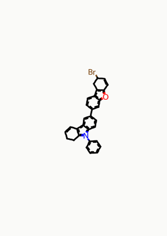 BrC1C=Cc2oc3cc(-c4ccc5c(c4)c4c(n5-c5ccccc5)CCC=C4)ccc3c2C1